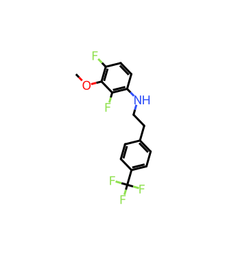 COc1c(F)ccc(NCCc2ccc(C(F)(F)F)cc2)c1F